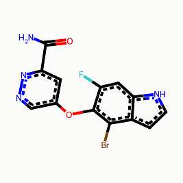 NC(=O)c1cc(Oc2c(F)cc3[nH]ccc3c2Br)cnn1